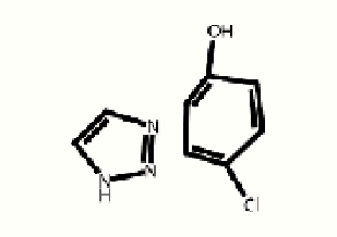 Oc1ccc(Cl)cc1.c1c[nH]nn1